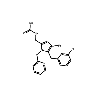 CC(C)c1nc(CNC(N)=O)n(Cc2ccccn2)c1Sc1cccc(Cl)c1